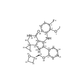 COc1c(F)cccc1Nc1c(-c2ccncc2OC[C@H]2CCO2)[nH]c2c1C(=O)NCC21CC1